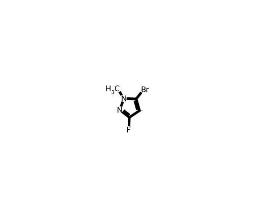 Cn1nc(F)[c]c1Br